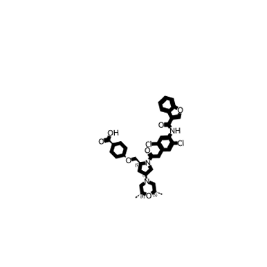 C[C@@H]1CN([C@H]2C[C@@H](CO[C@H]3CC[C@H](C(=O)O)CC3)N(C(=O)Cc3cc(Cl)c(NC(=O)c4coc5ccccc45)cc3Cl)C2)C[C@H](C)O1